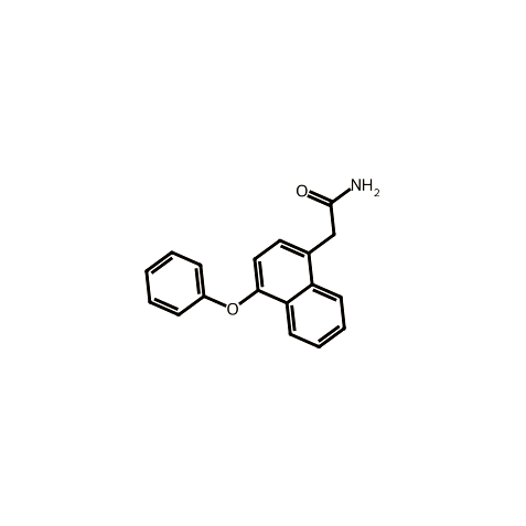 NC(=O)Cc1ccc(Oc2ccccc2)c2ccccc12